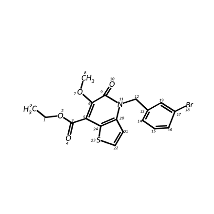 CCOC(=O)c1c(OC)c(=O)n(Cc2cccc(Br)c2)c2ccsc12